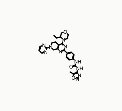 CCC1COCCN1c1nc(-c2ccc(NC(=O)Nc3nnoc3C)cc2)nc2c1CCN(c1ncccn1)C2